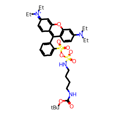 CCN(CC)c1ccc2c(-c3ccccc3S(=O)(=O)OS(=O)(=O)NCCCCNC(=O)OC(C)(C)C)c3ccc(=[N+](CC)CC)cc-3oc2c1